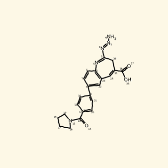 NN=NC1=Nc2ccc(-c3ccc(C(=O)N4CCCC4)cc3)cc2C=C(C(=O)O)C1